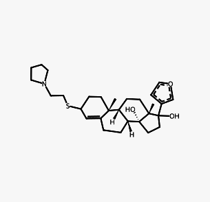 C[C@]12CCC(SCCN3CCCC3)C=C1CC[C@@H]1[C@H]2CC[C@]2(C)C(O)(c3ccoc3)CC[C@@]12O